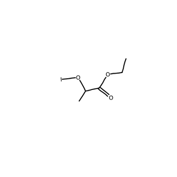 CCOC(=O)C(C)OI